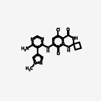 Cn1cc(-c2c(N)ncnc2Nc2cc(Cl)c3n(c2=O)NC2(CCC2)NC3=O)cn1